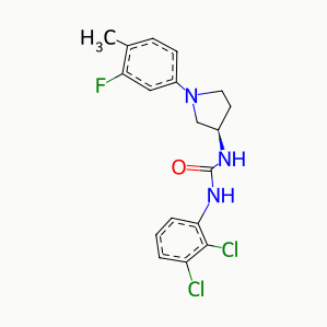 Cc1ccc(N2CC[C@@H](NC(=O)Nc3cccc(Cl)c3Cl)C2)cc1F